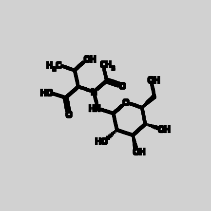 CC(=O)N(NC1O[C@@H](CO)[C@H](O)[C@@H](O)[C@@H]1O)C(C(=O)O)C(C)O